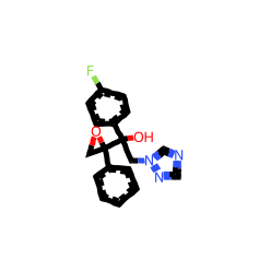 OC(Cn1cncn1)(c1ccc(F)cc1)C1(c2ccccc2)CO1